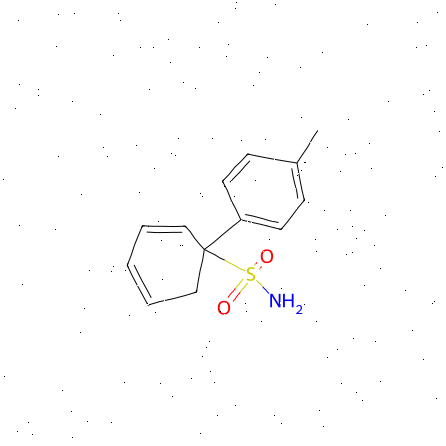 Cc1ccc(C2(S(N)(=O)=O)C=CC=CC2)cc1